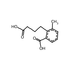 Cc1cccc(C(=O)O)c1CCCC(=O)O